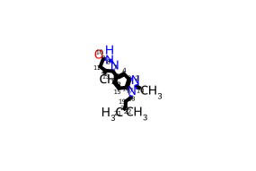 Cc1nc2cc(C3=NNC(=O)CC3C)ccc2n1CCC(C)C